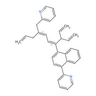 C=CC/C(=C\C=C(\c1ccc(-c2ccccn2)c2ccccc12)C(C=C)C=C)Cc1ccccn1